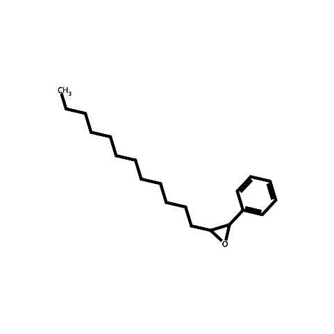 CCCCCCCCCCCCC1OC1c1ccccc1